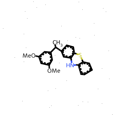 COc1cc(OC)cc(C(C)c2ccc3c(c2)Nc2ccccc2S3)c1